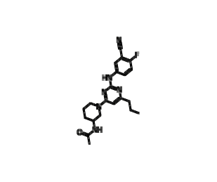 CCCc1cc(N2CCCC(NC(C)=O)C2)nc(Nc2ccc(F)c(C#N)c2)n1